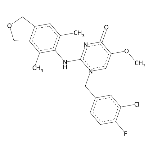 COc1cn(Cc2ccc(F)c(Cl)c2)c(Nc2c(C)cc3c(c2C)COC3)nc1=O